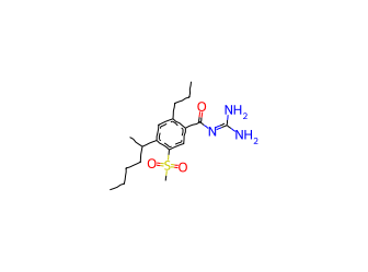 CCCCC(C)c1cc(CCC)c(C(=O)N=C(N)N)cc1S(C)(=O)=O